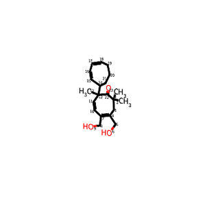 CC1(C)CC(CO)=C(CO)C=CC(C)(C2C=CC=CCCC2)C1=O